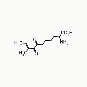 CC=C(C)C(=O)C(=O)CCCCC(N)C(=O)O